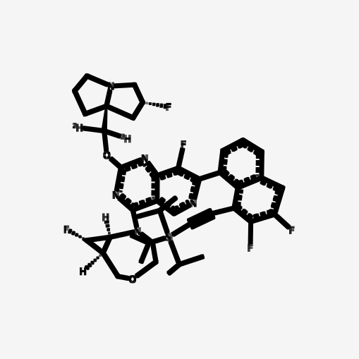 [2H]C([2H])(Oc1nc(N2CCOC[C@H]3[C@H](F)[C@H]32)c2cnc(-c3cccc4cc(F)c(F)c(C#C[Si](C(C)C)(C(C)C)C(C)C)c34)c(F)c2n1)[C@@]12CCCN1C[C@H](F)C2